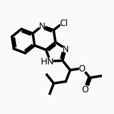 CC(=O)OC(CC(C)C)c1nc2c(Cl)nc3ccccc3c2[nH]1